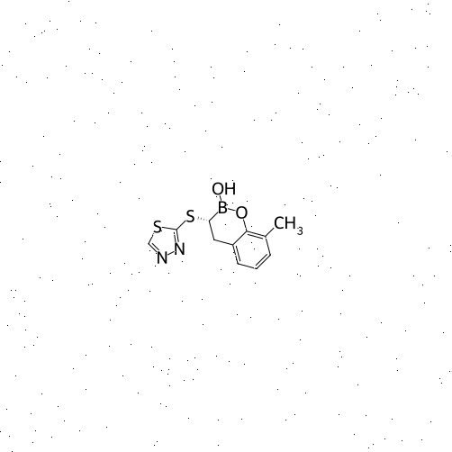 Cc1cccc2c1OB(O)[C@@H](Sc1nncs1)C2